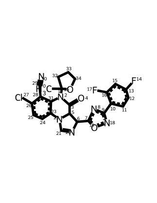 CC1(N2C(=O)C3C(c4nc(-c5ccc(F)cc5F)no4)N=CN3c3ccc(Cl)c(C#N)c32)CCCO1